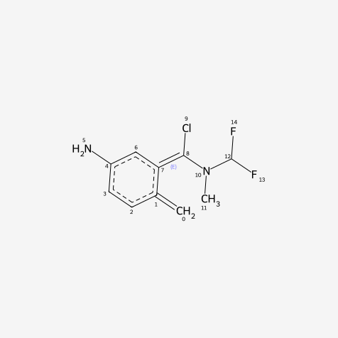 C=c1ccc(N)c/c1=C(\Cl)N(C)C(F)F